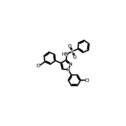 O=S(=O)(Nc1nn(-c2cccc(Cl)c2)cc1-c1cccc(Cl)c1)c1ccccc1